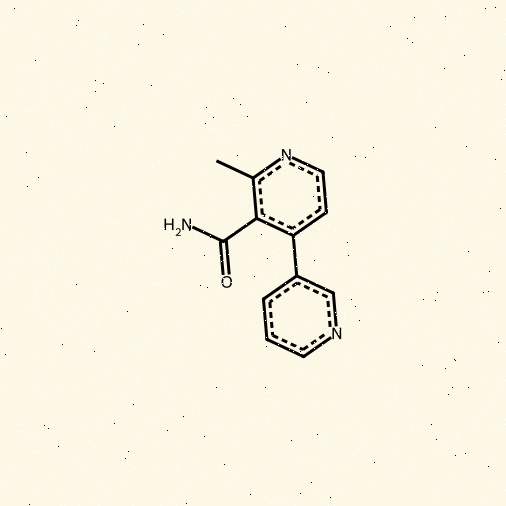 Cc1nccc(-c2cccnc2)c1C(N)=O